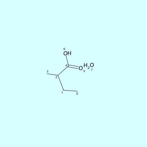 CCC(C)C(=O)O.O